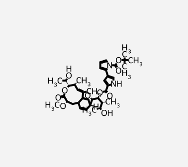 CO[C@H]1CC2C=C[C@@H]3C[C@]2(O[C@H]3[C@H](OC(=O)c2cc(-c3cccn3C(=O)OC(C)(C)C)c[nH]2)[C@H](C)[C@H](C)O)/C(C)=C/[C@@H](C)[C@@H](C(C)O)OC1=O